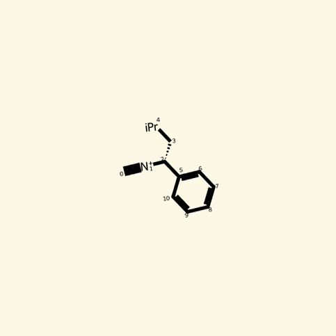 C#[N+][C@H](CC(C)C)c1ccccc1